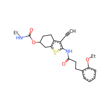 C#Cc1c(NC(=O)CCc2ccccc2OCC)sc2c1CCC(OC(=O)NCC)C2